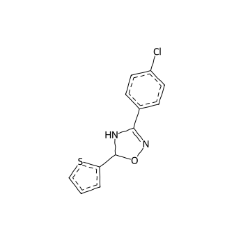 Clc1ccc(C2=NOC(c3cccs3)N2)cc1